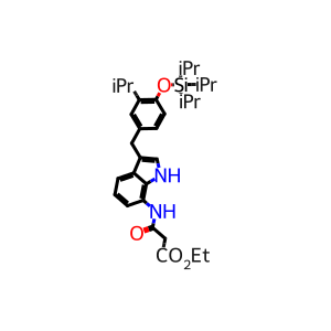 CCOC(=O)CC(=O)Nc1cccc2c(Cc3ccc(O[Si](C(C)C)(C(C)C)C(C)C)c(C(C)C)c3)c[nH]c12